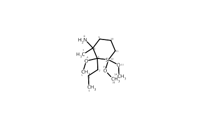 CCCC1(OC)C(C)(N)CCC[Si]1(OC)OC